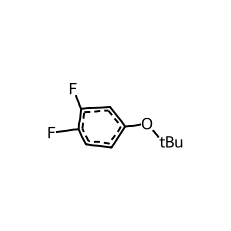 CC(C)(C)Oc1ccc(F)c(F)c1